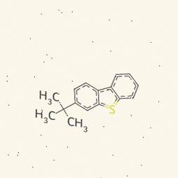 CC(C)(C)c1ccc2c(c1)sc1ccccc12